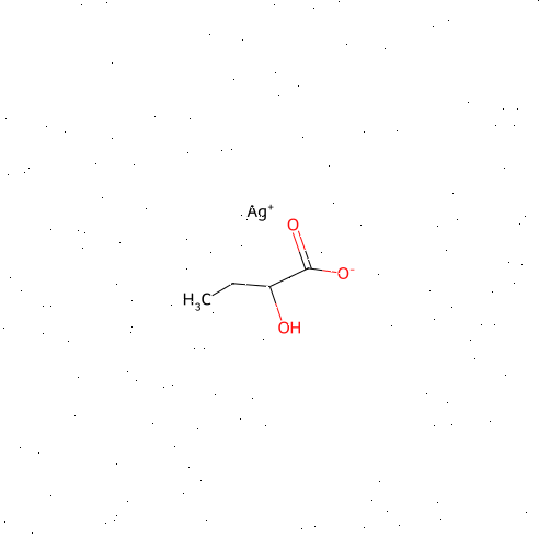 CCC(O)C(=O)[O-].[Ag+]